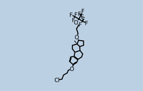 C[C@]12CCC3c4ccc(OCCCCCl)cc4CCC3C1CC[C@@H]2OCCCOC(C(F)(F)F)(C(F)(F)F)C(F)(F)F